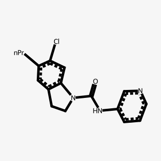 CCCc1cc2c(cc1Cl)N(C(=O)Nc1cccnc1)CC2